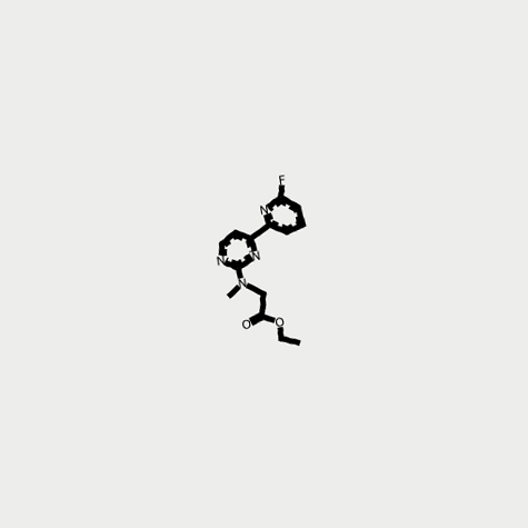 CCOC(=O)CN(C)c1nccc(-c2cccc(F)n2)n1